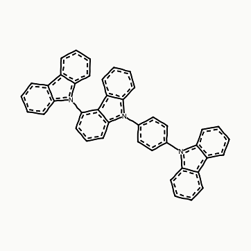 c1ccc2c(c1)c1ccccc1n2-c1ccc(-n2c3ccccc3c3c(-n4c5ccccc5c5ccccc54)cccc32)cc1